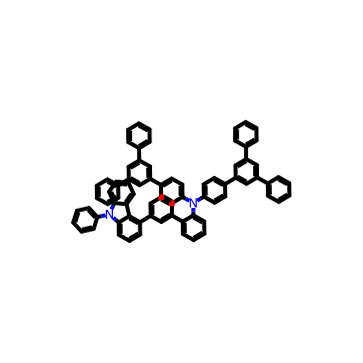 c1ccc(-c2cc(-c3ccccc3)cc(-c3ccc(N(c4ccc(-c5cc(-c6ccccc6)cc(-c6ccccc6)c5)cc4)c4ccccc4-c4cccc(-c5cccc6c5c5ccccc5n6-c5ccccc5)c4)cc3)c2)cc1